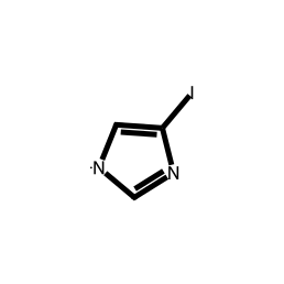 IC1=C[N]C=N1